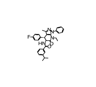 CCN1C(=O)C(NC(=O)c2cccc(C(C)C)c2)[C@@H](c2ccc(F)cc2)c2c(C)nn(-c3ccccc3)c21